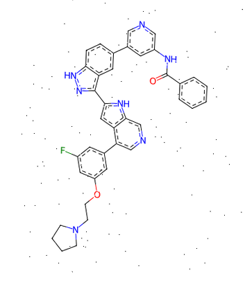 O=C(Nc1cncc(-c2ccc3[nH]nc(-c4cc5c(-c6cc(F)cc(OCCN7CCCC7)c6)cncc5[nH]4)c3c2)c1)c1ccccc1